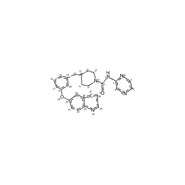 O=C(Nc1cnccn1)N1CCN(Cc2cccc(Oc3ccc4ncccc4c3)c2)CC1